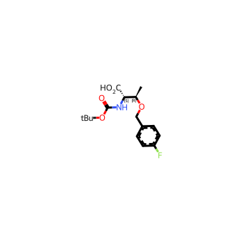 C[C@@H](OCc1ccc(F)cc1)[C@H](NC(=O)OC(C)(C)C)C(=O)O